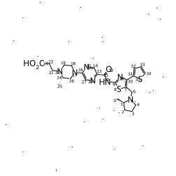 C[C@@H]1CCCN1Cc1sc(NC(=O)c2cnc(N3CCN(CCC(=O)O)[C@@H](C)C3)cn2)nc1-c1cccs1